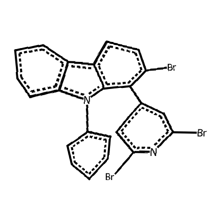 Brc1cc(-c2c(Br)ccc3c4ccccc4n(-c4ccccc4)c23)cc(Br)n1